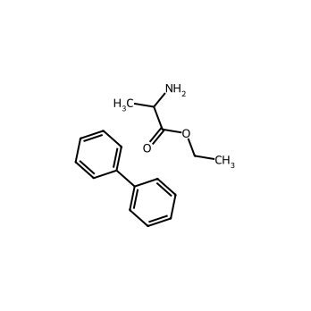 CCOC(=O)C(C)N.c1ccc(-c2ccccc2)cc1